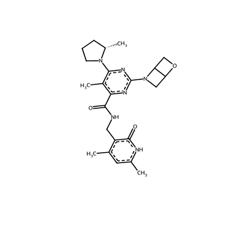 Cc1cc(C)c(CNC(=O)c2nc(N3CC4OCC43)nc(N3CCC[C@@H]3C)c2C)c(=O)[nH]1